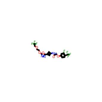 O=C(COc1ccc(C(F)(F)F)c(F)c1)NC12CC(c3nnc(OCCOCC(F)(F)F)o3)(C1)C2